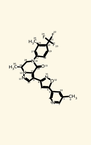 Cc1cncc(-c2cc(-c3cnn4c3C(=O)N(c3ccc(C(F)(F)F)c(C)c3)C[C@@H]4C)no2)c1